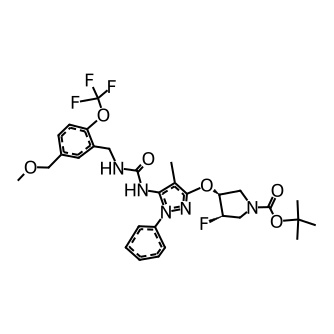 COCc1ccc(OC(F)(F)F)c(CNC(=O)Nc2c(C)c(O[C@H]3CN(C(=O)OC(C)(C)C)C[C@H]3F)nn2-c2ccccc2)c1